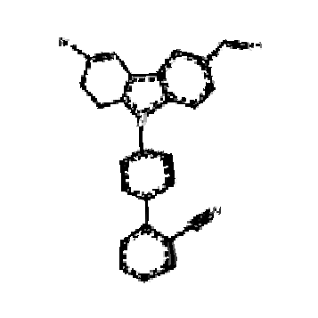 B=Cc1ccc2c(c1)c1c(n2-c2ccc(-c3ccccc3C#N)cc2)CCC(Br)=C1